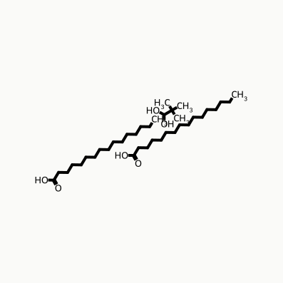 CC(C)(C)C(O)O.CCCCCCCCCCCCCCCC(=O)O.CCCCCCCCCCCCCCCC(=O)O